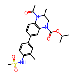 CC(=O)N1c2ccc(-c3ccc(NS(C)(=O)=O)c(C)c3)cc2N(C(=O)OC(C)C)C[C@@H]1C